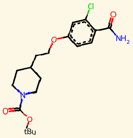 CC(C)(C)OC(=O)N1CCC(CCOc2ccc(C(N)=O)c(Cl)c2)CC1